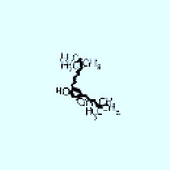 CCC(C)(C)CCCCCCc1cc(CCCCC(C)(C)C)c(O)cc1O